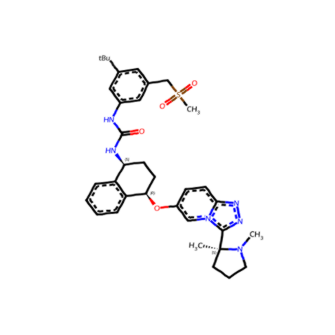 CN1CCC[C@@]1(C)c1nnc2ccc(O[C@@H]3CC[C@H](NC(=O)Nc4cc(CS(C)(=O)=O)cc(C(C)(C)C)c4)c4ccccc43)cn12